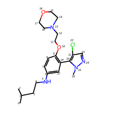 CC(C)CCNc1ccc(OCCN2CCOCC2)c(-c2c(Cl)cnn2C)c1